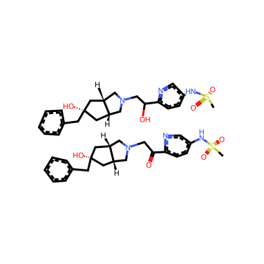 CS(=O)(=O)Nc1ccc(C(=O)CN2C[C@@H]3C[C@@](O)(Cc4ccccc4)C[C@@H]3C2)nc1.CS(=O)(=O)Nc1ccc(C(O)CN2C[C@@H]3C[C@@](O)(Cc4ccccc4)C[C@@H]3C2)nc1